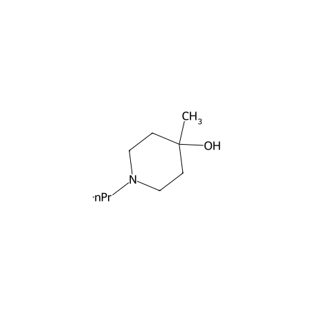 CC[CH]N1CCC(C)(O)CC1